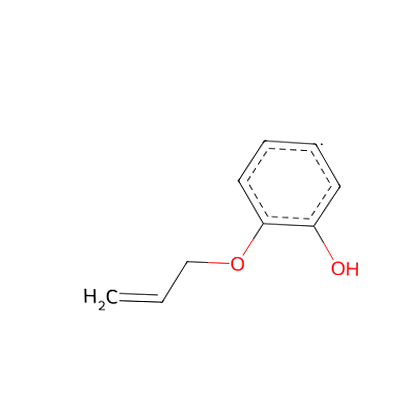 C=CCOc1cc[c]cc1O